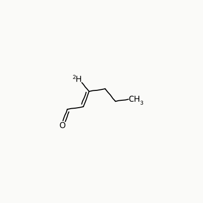 [2H]C(=CC=O)CCC